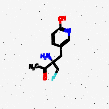 CC(=O)[C@](N)(CF)Cc1ccc(O)nc1